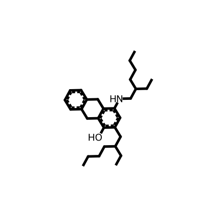 CCCCC(CC)CNc1cc(CC(CC)CCCC)c(O)c2c1Cc1ccccc1C2